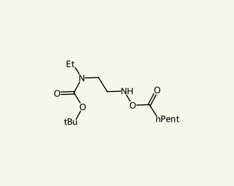 CCCCCC(=O)ONCCN(CC)C(=O)OC(C)(C)C